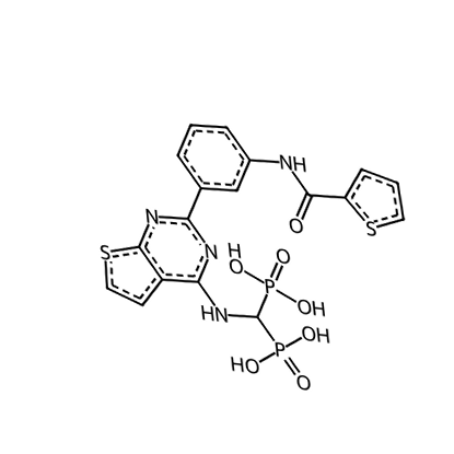 O=C(Nc1cccc(-c2nc(NC(P(=O)(O)O)P(=O)(O)O)c3ccsc3n2)c1)c1cccs1